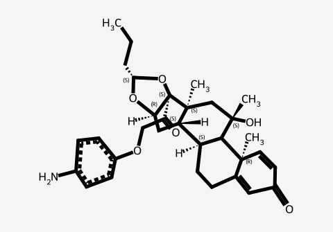 CCC[C@H]1O[C@@H]2C[C@H]3[C@@H]4CCC5=CC(=O)C=C[C@]5(C)C4[C@@](C)(O)C[C@]3(C)[C@]2(C(=O)COc2ccc(N)cc2)O1